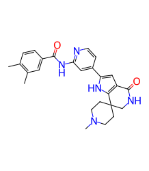 Cc1ccc(C(=O)Nc2cc(-c3cc4c([nH]3)C3(CCN(C)CC3)CNC4=O)ccn2)cc1C